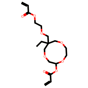 C=CC(=O)OCCOCC1(CC)COCCOC(OC(=O)C=C)COC1